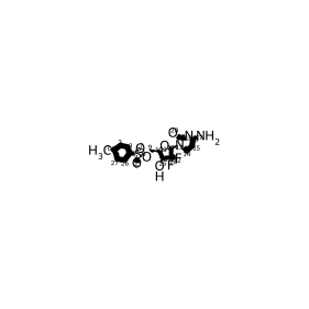 Cc1ccc(S(=O)(=O)OC[C@H]2O[C@@H](n3ccc(N)nc3=O)C(F)(F)[C@@H]2O)cc1